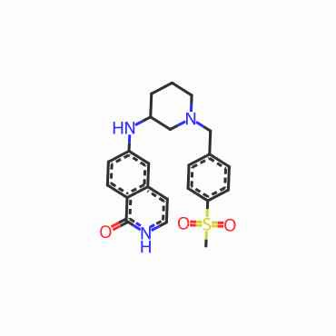 CS(=O)(=O)c1ccc(CN2CCCC(Nc3ccc4c(=O)[nH]ccc4c3)C2)cc1